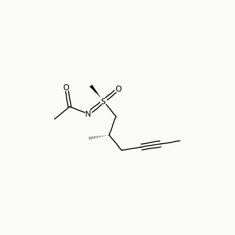 CC#CC[C@H](C)C[S@@](C)(=O)=NC(C)=O